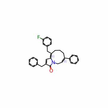 O=C1C(Cc2ccccc2)=C/C2=C(\Cc3cccc(F)c3)CCC/C(c3ccccc3)=C\CN12